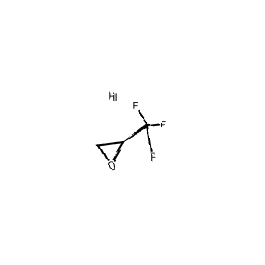 FC(F)(F)[C@@H]1CO1.I